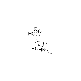 CCCNC(=O)C(O)C(C)(C)COP(=O)(O)OC